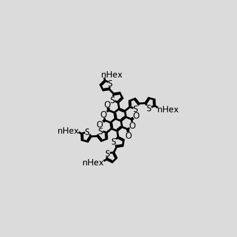 CCCCCCc1ccc(-c2ccc(-c3c(-c4ccc(-c5ccc(CCCCCC)s5)s4)c4c5c(c(-c6ccc(-c7ccc(CCCCCC)s7)s6)c(-c6ccc(-c7ccc(CCCCCC)s7)s6)c6c5c3C(=O)OC6=O)C(=O)OC4=O)s2)s1